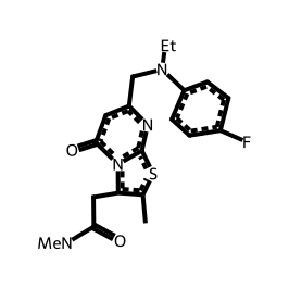 CCN(Cc1cc(=O)n2c(CC(=O)NC)c(C)sc2n1)c1ccc(F)cc1